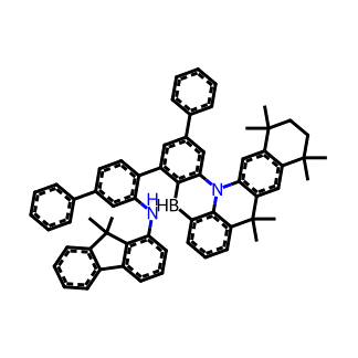 CC1(C)CCC(C)(C)c2cc3c(cc21)N1c2cc(-c4ccccc4)cc(-c4ccc(-c5ccccc5)cc4Nc4cccc5c4C(C)(C)c4ccccc4-5)c2Bc2cccc(c21)C3(C)C